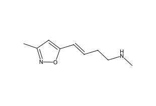 CNCCC=Cc1cc(C)no1